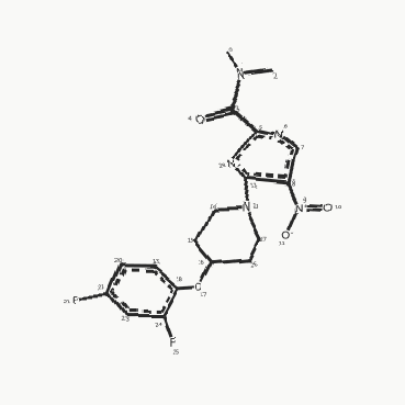 CN(C)C(=O)c1ncc([N+](=O)[O-])c(N2CCC(Oc3ccc(F)cc3F)CC2)n1